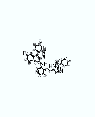 [N-]=[N+]=N[C@H](C(=O)Nc1cncc(F)c1CCC(CO)NS(=O)(=O)c1ccccc1)[C@@H](c1ccc(F)cc1)c1cc(F)cc(F)c1